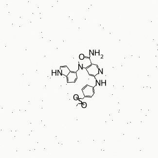 CN(c1cc(Nc2ccc(S(C)(=O)=O)cc2)ncc1C(N)=O)c1cccc2[nH]ccc12